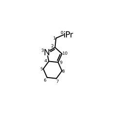 CC(C)CC1=NC2CCCCC2=C1